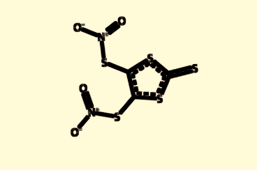 O=[N+]([O-])Sc1sc(=S)sc1S[N+](=O)[O-]